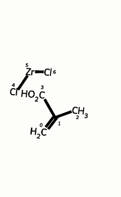 C=C(C)C(=O)O.[Cl][Zr][Cl]